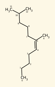 CCCCC=C(C)CCCC(C)C